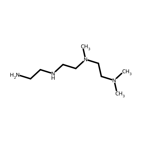 CN(C)CCN(C)CCNCCN